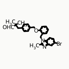 Cc1nc2cc(Br)ccc2n1Cc1ccccc1OCc1ccc(CC(C)(C)C=O)cc1